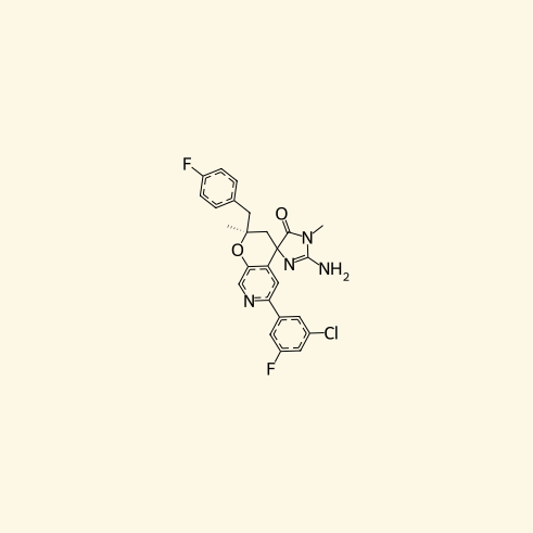 CN1C(=O)C2(C[C@](C)(Cc3ccc(F)cc3)Oc3cnc(-c4cc(F)cc(Cl)c4)cc32)N=C1N